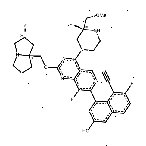 C#Cc1c(F)ccc2cc(O)cc(-c3ncc4c(N5CCN[C@@](CC)(COC)C5)nc(OC[C@@]56CCCN5C[C@H](F)C6)nc4c3F)c12